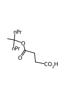 CCCC(C)(CCC)OC(=O)CCC(=O)O